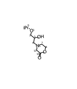 CC(C)OCC(O)CN1CCOC(=O)C1